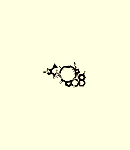 CO[C@H]1/C=C/C[C@H](C)C[S@@](=O)(NC(=O)c2cn(C)nc2C2CC2)=NC(=O)c2ccc3c(c2)N(C[C@@H]2CC[C@H]21)C[C@@]1(CCCc2cc(Cl)ccc21)CO3